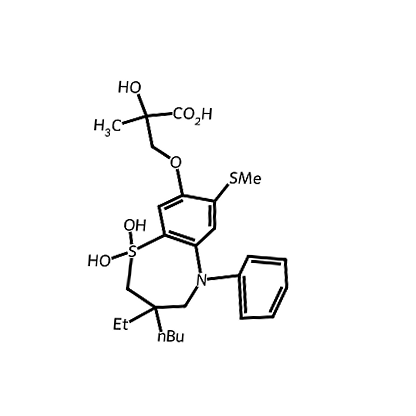 CCCCC1(CC)CN(c2ccccc2)c2cc(SC)c(OCC(C)(O)C(=O)O)cc2S(O)(O)C1